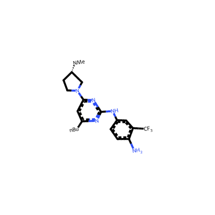 CCCCc1cc(N2CC[C@H](NC)C2)nc(Nc2ccc(N)c(C(F)(F)F)c2)n1